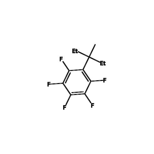 CCC(C)(CC)c1c(F)c(F)c(F)c(F)c1F